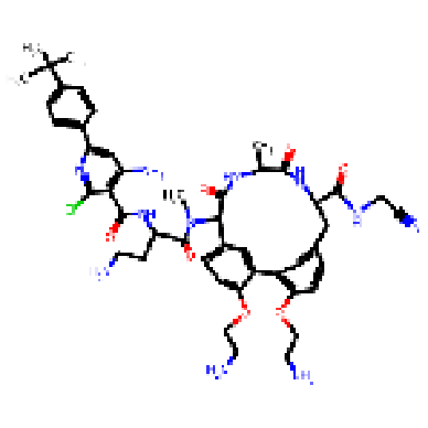 CC1NC(=O)C(N(C)C(=O)C(CCN)NC(=O)c2c(N)cc(-c3ccc(C(C)(C)C)cc3)nc2Cl)c2ccc(OCCN)c(c2)-c2cc(ccc2OCCN)CC(C(=O)NCC#N)NC1=O